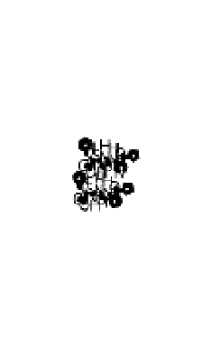 O=C(Nc1nc(C(=O)O)c(Sc2ccccn2)s1)Nc1cnccc1C(=O)C1CCCC1.O=C(Nc1nc(C(=O)O)c(Sc2ccccn2)s1)Nc1ncccc1C(=O)C1CCCC1